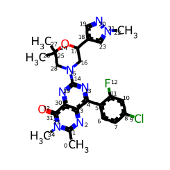 Cc1nc2c(-c3ccc(Cl)cc3F)nc(N3CC(c4cnn(C)c4)OC(C)(C)C3)nc2c(=O)n1C